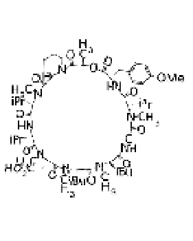 CC[C@H](C)[C@H]1C(=O)NCC(=O)N(C)[C@@H](C(C)C)C(=O)N[C@@H](Cc2ccc(OC)cc2)C(=O)O[C@H](C)C(=O)N2CCCC[C@H]2C(=O)N(C)[C@@H](C(C)C)C(=O)N[C@@H](C(C)C)C(=O)N(C)[C@@H](CC(=O)O)C(=O)N(C)[C@@H]([C@@H](C)CC)C(=O)N1C